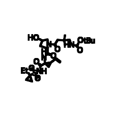 C=CC1CC1(NC(=O)C1CC(O)CN1C(=O)CC(C)(C)CNC(=O)OC(C)(C)C)C(=O)NS(=O)(=O)C1(CC)CC1